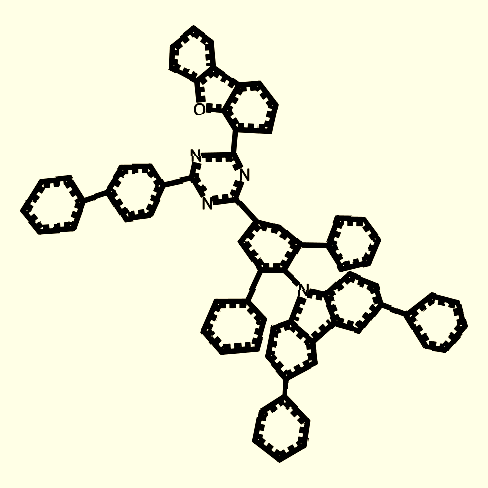 c1ccc(-c2ccc(-c3nc(-c4cc(-c5ccccc5)c(-n5c6ccc(-c7ccccc7)cc6c6cc(-c7ccccc7)ccc65)c(-c5ccccc5)c4)nc(-c4cccc5c4oc4ccccc45)n3)cc2)cc1